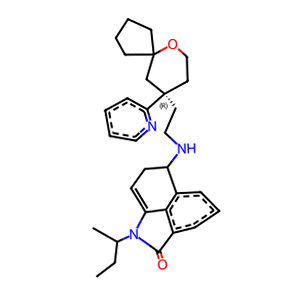 CCC(C)N1C(=O)c2cccc3c2C1=CCC3NCC[C@@]1(c2ccccn2)CCOC2(CCCC2)C1